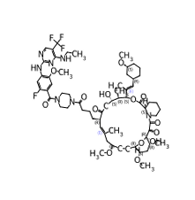 CCNc1nc(Nc2cc(F)c(C(=O)N3CCN(C(=O)CCC[C@@H]4/C=C(\C)C[C@H](OC)CC[C@H]5O[C@@](O)(C(=O)C(=O)N6CCCC[C@H]6C(=O)O[C@H](/C(C)=C/[C@@H]6CCC[C@H](OC)C6)[C@H](C)[C@@H](O)CC4=O)[C@H](C)C[C@@H]5OC)CC3)cc2OC)ncc1C(F)(F)F